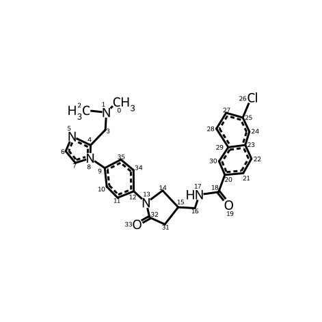 CN(C)Cc1nccn1-c1ccc(N2CC(CNC(=O)c3ccc4cc(Cl)ccc4c3)CC2=O)cc1